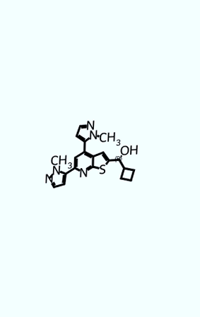 Cn1nccc1-c1cc(-c2ccnn2C)c2cc([C@H](O)C3CCC3)sc2n1